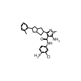 Cc1ccccc1C1CC2CC(c3nn(C)c(N)c3C(=O)Nc3ccc(P)c(Cl)c3)CC2C1